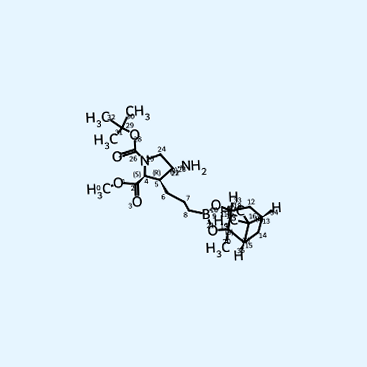 COC(=O)[C@@H]1[C@H](CCCB2O[C@@H]3C[C@@H]4C[C@@H](C4(C)C)[C@]3(C)O2)[C@@H](N)CN1C(=O)OC(C)(C)C